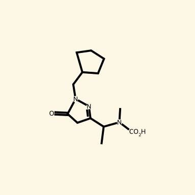 CC(C1=NN(CC2CCCC2)C(=O)C1)N(C)C(=O)O